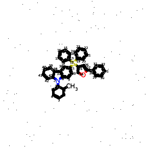 CC1CC=CC=C1N1c2ccc(S(c3ccccc3)(c3ccccc3)C3C=C(c4ccccc4)OC3)cc2C2C=CC=CC21